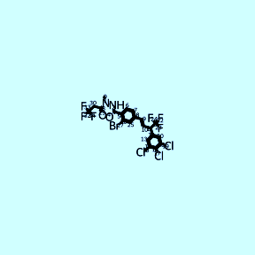 CN(NC(=O)c1ccc(C=CC(c2cc(Cl)c(Cl)c(Cl)c2)C(F)(F)F)cc1Br)C(=O)CC(F)(F)F